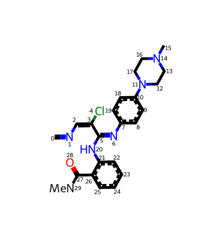 C=N/C=C(Cl)\C(=N/c1ccc(N2CCN(C)CC2)cc1)Nc1ccccc1C(=O)NC